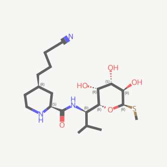 CS[C@H]1O[C@H]([C@H](NC(=O)[C@@H]2C[C@H](CCCC#N)CCN2)C(C)C)[C@H](O)[C@H](O)[C@H]1O